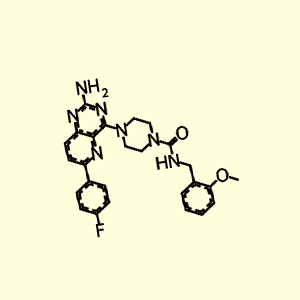 COc1ccccc1CNC(=O)N1CCN(c2nc(N)nc3ccc(-c4ccc(F)cc4)nc23)CC1